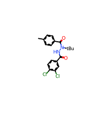 Cc1ccc(C(=O)N(NC(=O)c2ccc(Cl)c(Cl)c2)C(C)(C)C)cc1